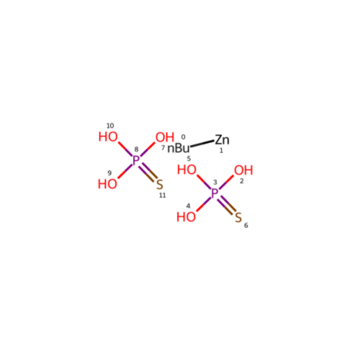 CCC[CH2][Zn].OP(O)(O)=S.OP(O)(O)=S